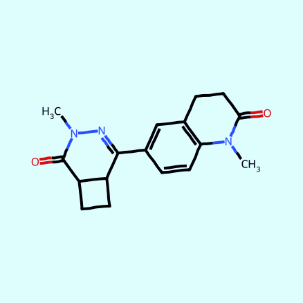 CN1N=C(c2ccc3c(c2)CCC(=O)N3C)C2CCC2C1=O